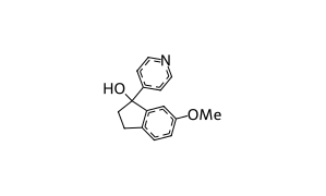 COc1ccc2c(c1)C(O)(c1ccncc1)CC2